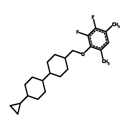 Cc1cc(C)c(OCC2CCC(C3CCC(C4CC4)CC3)CC2)c(F)c1F